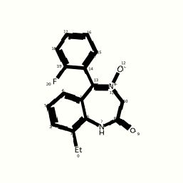 CCc1cccc2c1NC(=O)C[N+]([O-])=C2c1ccccc1F